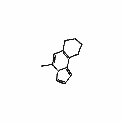 Cc1cc2c(c3cccn13)CCCC2